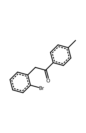 Cc1ccc(C(=O)Cc2ccccc2Br)cc1